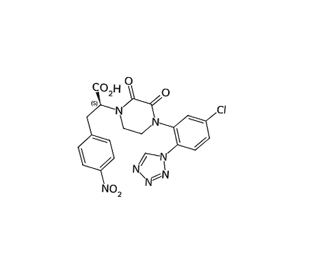 O=C(O)[C@H](Cc1ccc([N+](=O)[O-])cc1)N1CCN(c2cc(Cl)ccc2-n2cnnn2)C(=O)C1=O